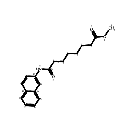 COC(=O)CCCCCCC(=O)Nc1ccc2ccccc2c1